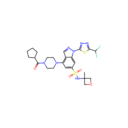 CC1(NS(=O)(=O)c2cc(N3CCN(C(=O)C4CCCC4)CC3)c3cnn(-c4nnc(C(F)F)s4)c3c2)COC1